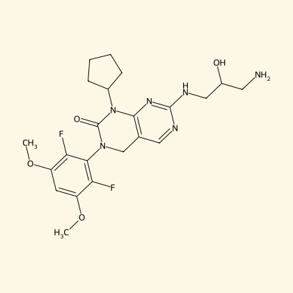 COc1cc(OC)c(F)c(N2Cc3cnc(NCC(O)CN)nc3N(C3CCCC3)C2=O)c1F